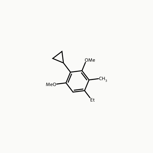 CCc1cc(OC)c(C2CC2)c(OC)c1C